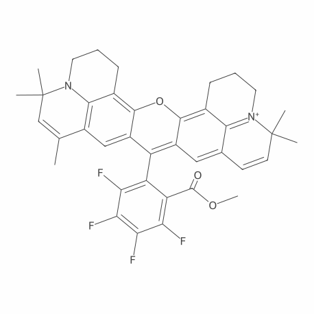 COC(=O)c1c(F)c(F)c(F)c(F)c1C1=c2cc3c4c(c2Oc2c1cc1c5c2CCCN5C(C)(C)C=C1C)CCC[N+]=4C(C)(C)C=C3